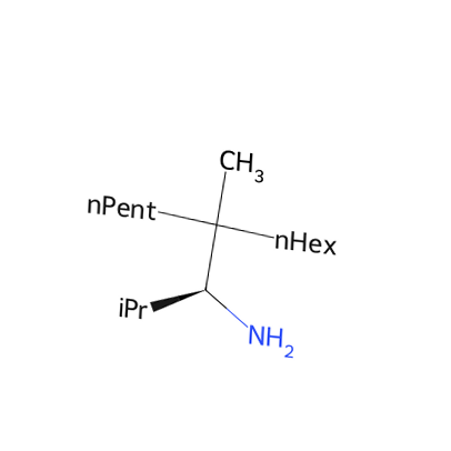 CCCCCCC(C)(CCCCC)[C@@H](N)C(C)C